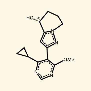 COc1ncnc(C2CC2)c1-c1cc2n(n1)CCC[C@H]2O